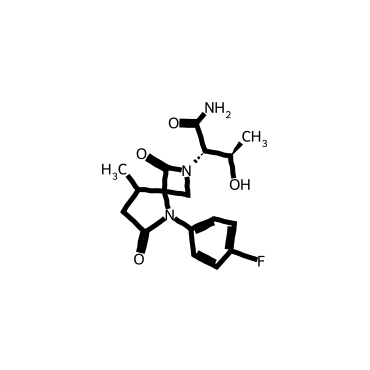 CC1CC(=O)N(c2ccc(F)cc2)C12CN([C@H](C(N)=O)[C@@H](C)O)C2=O